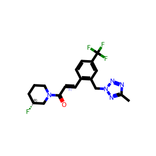 Cc1nnn(Cc2cc(C(F)(F)F)ccc2/C=C/C(=O)N2CCC[C@@H](F)C2)n1